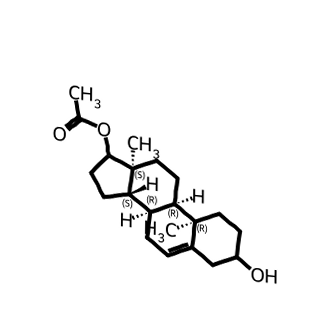 CC(=O)OC1CC[C@H]2[C@@H]3CC=C4CC(O)CC[C@]4(C)[C@@H]3CC[C@]12C